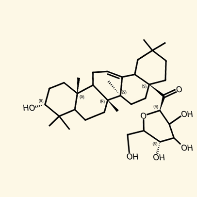 CC1(C)CC[C@]2(C(=O)[C@@H]3OC(CO)[C@@H](O)C(O)C3O)CC[C@]3(C)C(=CCC4[C@@]5(C)CC[C@@H](O)C(C)(C)C5CC[C@]43C)C2C1